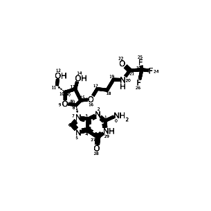 Nc1nc2c(ncn2[C@@H]2O[C@H](CO)C(O)C2OCCCNC(=O)C(F)(F)F)c(=O)[nH]1